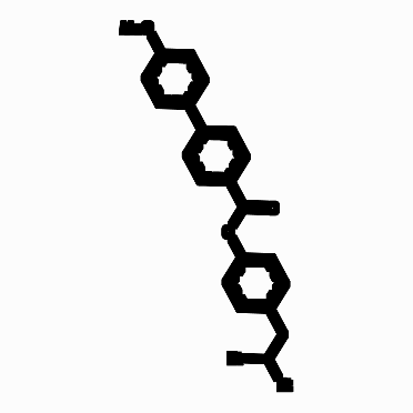 CCC(CC)Cc1ccc(OC(=O)c2ccc(-c3ccc(OC)cc3)cc2)cc1